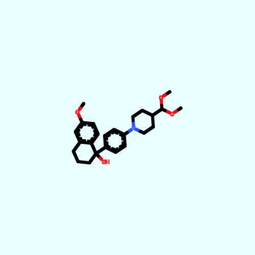 COc1ccc2c(c1)CCCC2(O)c1ccc(N2CCC(C(OC)OC)CC2)cc1